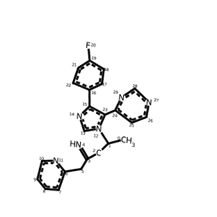 CC(CC(=N)Cc1ccccn1)n1cnc(-c2ccc(F)cc2)c1-c1ccncn1